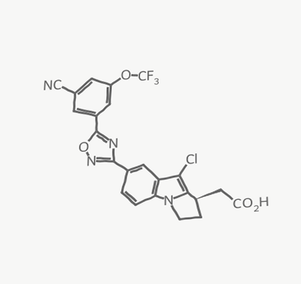 N#Cc1cc(OC(F)(F)F)cc(-c2nc(-c3ccc4c(c3)c(Cl)c3n4CC[C@@H]3CC(=O)O)no2)c1